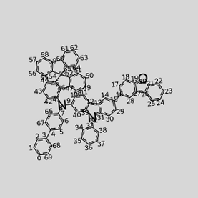 c1ccc(-c2ccc(N(c3ccc4c5cc(-c6ccc7oc8ccccc8c7c6)ccc5n(-c5ccccc5)c4c3)c3cccc4c3-c3ccccc3C43c4ccccc4-c4ccccc43)cc2)cc1